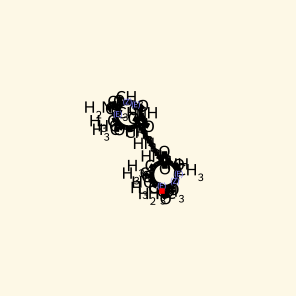 COC1/C=C\C=C(/C)C(=O)NC2=CC(=O)C(NCCCNCCCNC3=C4CC(C)CC(OC)C(O)C(C)/C=C(\C)C(C(=O)ON)C(OC)/C=C\C=C(/C)C(=O)NC(=CC3=O)C4=O)=C(CC(C)CC(OC)C(O)C(C)/C=C(\C)C1OC(N)=O)C2=O